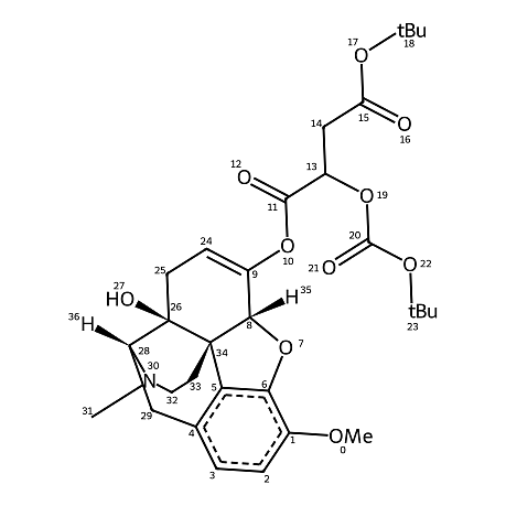 COc1ccc2c3c1O[C@H]1C(OC(=O)C(CC(=O)OC(C)(C)C)OC(=O)OC(C)(C)C)=CC[C@@]4(O)[C@@H](C2)N(C)CC[C@]314